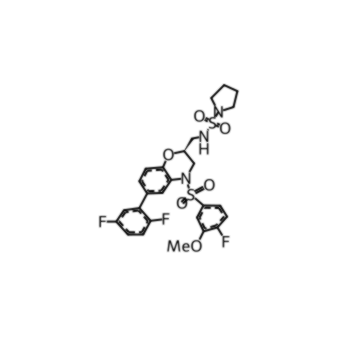 COc1cc(S(=O)(=O)N2C[C@H](CNS(=O)(=O)N3CCCC3)Oc3ccc(-c4cc(F)ccc4F)cc32)ccc1F